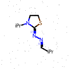 CC(C)/C=N/N=C1\SCCN1C(C)C